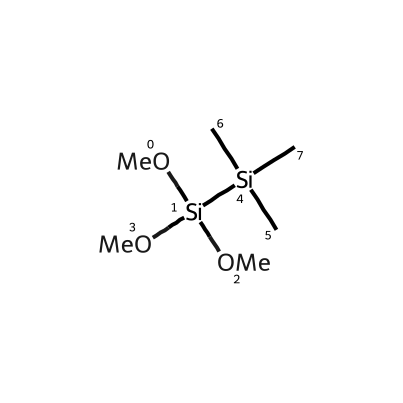 CO[Si](OC)(OC)[Si](C)(C)C